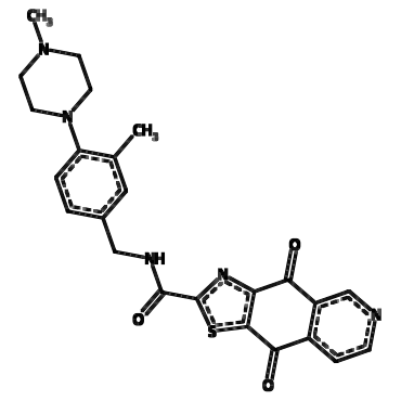 Cc1cc(CNC(=O)c2nc3c(s2)C(=O)c2ccncc2C3=O)ccc1N1CCN(C)CC1